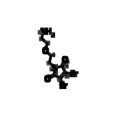 NCCOCCN1C(=O)C(Br)=C(Br)C1=O